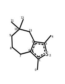 Cc1sc(C)c2c1CCCC(C)(C)C2